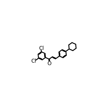 O=C(C=Cc1ccc(C2CCCCC2)cc1)c1cc(Cl)cc(Cl)c1